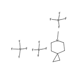 CN1CCC2(CC1)CC2.F[B-](F)(F)F.F[B-](F)(F)F.F[B-](F)(F)F